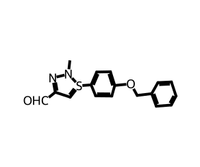 CN1N=C(C=O)C=S1c1ccc(OCc2ccccc2)cc1